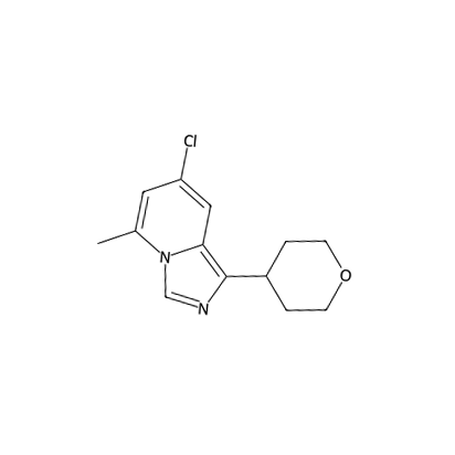 Cc1cc(Cl)cc2c(C3CCOCC3)ncn12